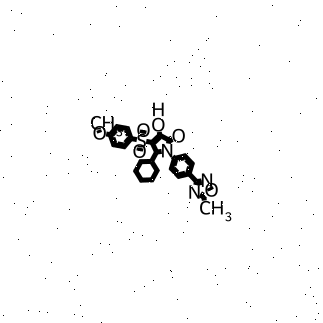 COc1ccc(S(=O)(=O)C2=C(O)C(=O)N(c3ccc(-c4noc(C)n4)cc3)C2C2CCCCC2)cc1